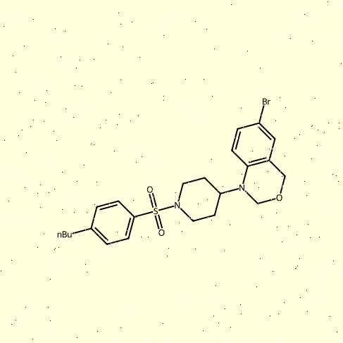 CCCCc1ccc(S(=O)(=O)N2CCC(N3COCc4cc(Br)ccc43)CC2)cc1